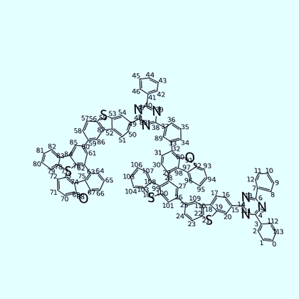 c1ccc(-c2nc(-c3ccccc3)nc(-c3ccc4c(c3)sc3ccc(-c5cc(-c6ccc(-c7cccc(-c8nc(-c9ccccc9)nc(-c9ccc%10c(c9)sc9ccc(-c%11cc(-c%12cccc%13oc%14ccccc%14c%12%13)c%12sc%13ccccc%13c%12c%11)cc9%10)n8)c7)c7oc8ccccc8c67)c6c(c5)sc5ccccc56)cc34)n2)cc1